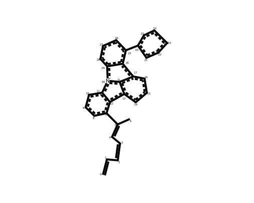 C=C/C=C\C=C(/C)c1cccc2c1c1cccc3c4c(-c5ccccc5)cccc4n2c13